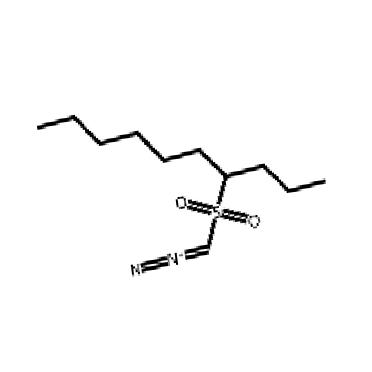 CCCCCCC(CCC)S(=O)(=O)C=[N+]=[N-]